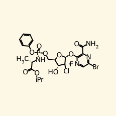 CC(C)OC(=O)[C@H](C)N[P@@](=O)(OC[C@H]1O[C@@H](Oc2ncc(Br)nc2C(N)=O)[C@@](F)(Cl)[C@@H]1O)Oc1ccccc1